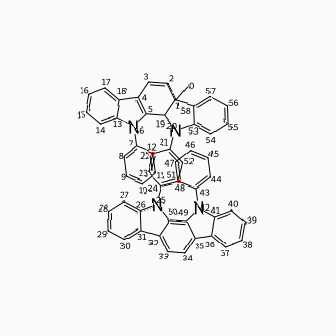 CC12C=Cc3c(n(-c4ccccc4)c4ccccc34)C1N(c1ccc(-n3c4ccccc4c4ccc5c6ccccc6n(-c6ccccc6)c5c43)cc1)c1ccccc12